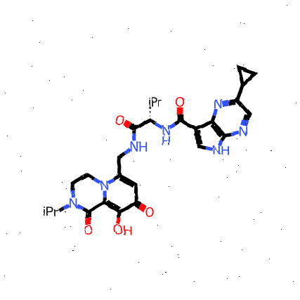 CC(C)[C@H](NC(=O)c1c[nH]c2ncc(C3CC3)nc12)C(=O)NCc1cc(=O)c(O)c2n1CCN(C(C)C)C2=O